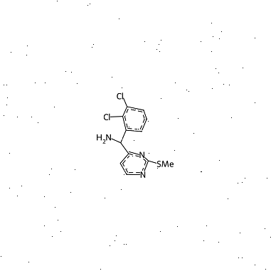 CSc1nccc(C(N)c2cccc(Cl)c2Cl)n1